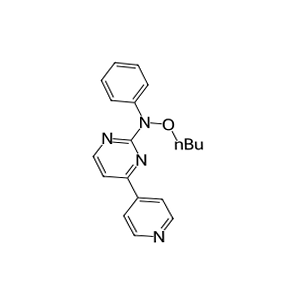 CCCCON(c1ccccc1)c1nccc(-c2ccncc2)n1